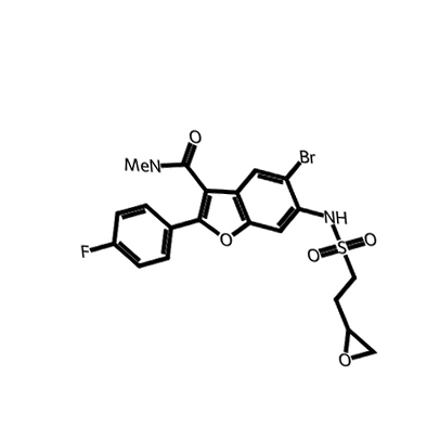 CNC(=O)c1c(-c2ccc(F)cc2)oc2cc(NS(=O)(=O)CCC3CO3)c(Br)cc12